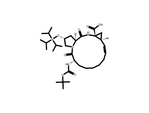 CC(C)[Si](O[C@@H]1C[C@H]2C(=O)N[C@]3(C(=O)O)C[C@H]3C=CCCCCC[C@H](NC(=O)OC(C)(C)C)C(=O)N2C1)(C(C)C)C(C)C